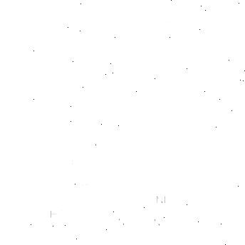 O=C(O)c1nn[nH]c1/C=C/c1ccc(Cl)cc1